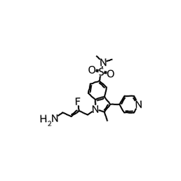 Cc1c(-c2ccncc2)c2cc(S(=O)(=O)N(C)C)ccc2n1CC(F)=CCN